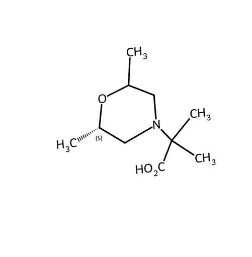 CC1CN(C(C)(C)C(=O)O)C[C@H](C)O1